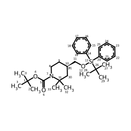 CC(C)(C)OC(=O)N1CC[C@@H](CO[Si](c2ccccc2)(c2ccccc2)C(C)(C)C)CC1(C)C